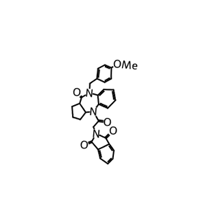 COc1ccc(CN2C(=O)C3CCCC3N(C(=O)CN3C(=O)c4ccccc4C3=O)c3ccccc32)cc1